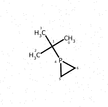 CC(C)(C)P1CC1